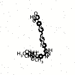 Cc1cc(-c2ncnc3[nH]c(-c4ccc(N5CCN(CCC6CCN(c7ccc([C@H]8CCC(=O)NC8=O)cc7)CC6)CC5)nc4)cc23)ccc1C(C)NC(=O)c1nc(C(C)(C)C)no1